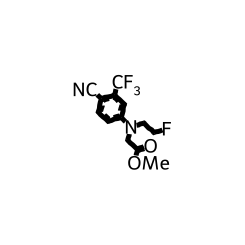 COC(=O)CN(CCF)c1ccc(C#N)c(C(F)(F)F)c1